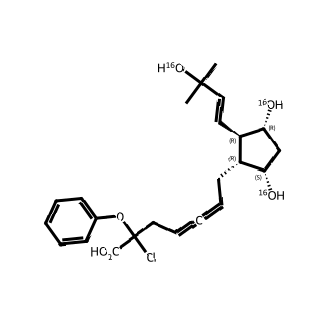 CC(C)([16OH])C=C[C@@H]1[C@@H](CC=C=CCC(Cl)(Oc2ccccc2)C(=O)O)[C@@H]([16OH])C[C@H]1[16OH]